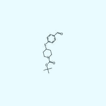 CC(C)(C)OC(=O)N1CCC(Sc2ccc(C=O)cc2)CC1